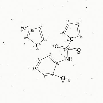 Cc1ccccc1NS(=O)(=O)[c-]1cccc1.[Fe+2].c1cc[cH-]c1